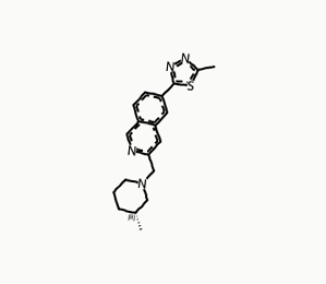 Cc1nnc(-c2ccc3cnc(CN4CCC[C@@H](C)C4)cc3c2)s1